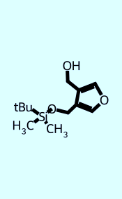 CC(C)(C)[Si](C)(C)OCc1cocc1CO